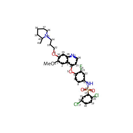 COc1cc2c(Oc3ccc(NS(=O)(=O)c4cc(Cl)ccc4Cl)cc3F)ccnc2cc1OCCCN1CCCCC1C